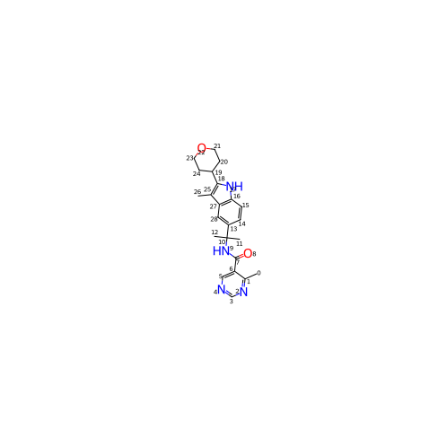 Cc1ncncc1C(=O)NC(C)(C)c1ccc2[nH]c(C3CCOCC3)c(C)c2c1